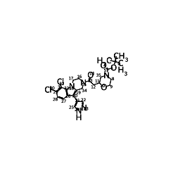 CC(C)(C)OC(=O)N1CCOC(CC(=O)N2CCn3c(c(-c4cn[nH]c4)c4ccc(Cl)c(Cl)c43)C2)C1